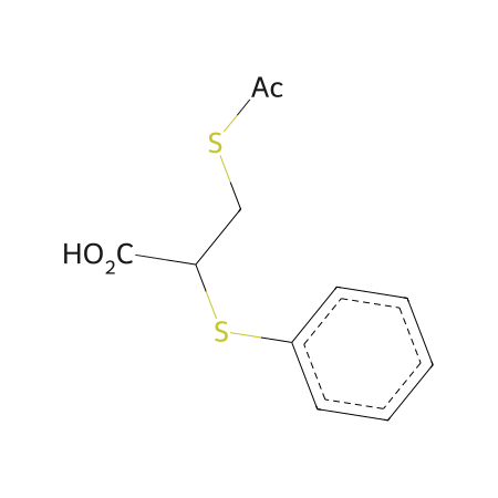 CC(=O)SCC(Sc1ccccc1)C(=O)O